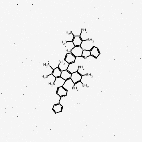 Bc1c(B)c(B)c(-n2c(-c3cccc(-c4c5c(B)c(B)c(B)c(B)c5c(-c5ccc(-c6ccccc6)cc5)c5c(B)c(B)c(B)c(B)c45)c3)nc3ccccc32)c(B)c1B